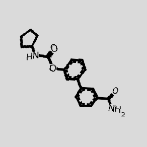 NC(=O)c1cccc(-c2cccc(OC(=O)NC3CCCC3)c2)c1